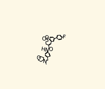 CN(Cc1ccc(NC(=O)C2=Cc3cc(-c4ccc(F)cc4)ccc3S(=O)(=O)CC2)cc1)C1CCOCC1